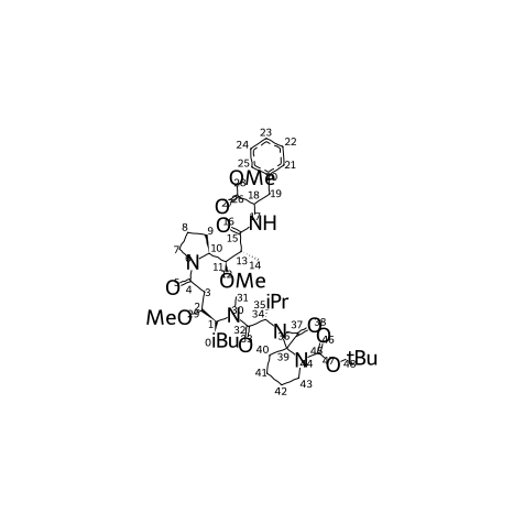 CC[C@H](C)[C@@H](C(CC(=O)N1CCC[C@H]1[C@H](OC)[C@@H](C)C(=O)NC(Cc1ccccc1)C(=O)OC)OC)N(C)C(=O)[C@H](C(C)C)N1C(=O)C12CCCCN2C(=O)OC(C)(C)C